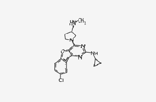 CN[C@@H]1CCN(c2nc(NC3CC3)nc3c2oc2ccc(Cl)cc23)C1